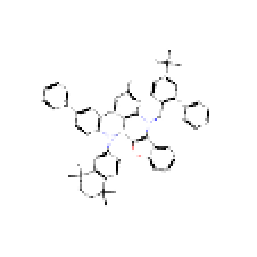 Cc1cc2c3c(c1)N(Cc1ccc(C(C)(C)C)cc1-c1ccccc1)c1c(oc4ccccc14)B3N(c1ccc3c(c1)C(C)(C)CCC3(C)C)c1ccc(-c3ccccc3)cc1-2